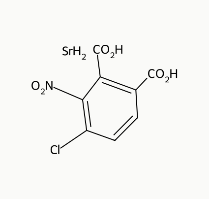 O=C(O)c1ccc(Cl)c([N+](=O)[O-])c1C(=O)O.[SrH2]